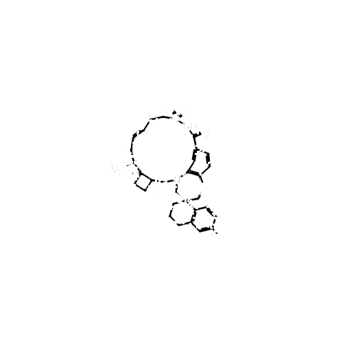 C[C@]12CC[C@@H]1CN1C[C@@]3(CCCc4cc(Cl)ccc43)COc3ccc(cc31)C(=O)NS(=O)(=O)CC/C=C/C[C@@H]2O